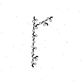 C=CC(=O)OCCN(CCOCCC(=O)OCCOCCOC(=O)CCOCCN(CCOC(=O)C=C)C(=O)CCOCCN(CCOC(=O)C=C)C(=O)C=C)C(=O)C=C